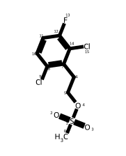 CS(=O)(=O)OCCc1c(Cl)ccc(F)c1Cl